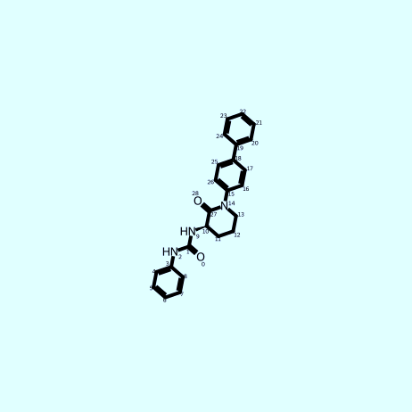 O=C(Nc1ccccc1)N[C@@H]1CCCN(c2ccc(-c3ccccc3)cc2)C1=O